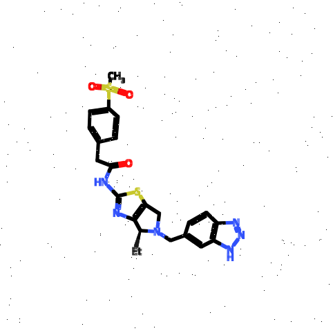 CC[C@H]1c2nc(NC(=O)Cc3ccc(S(C)(=O)=O)cc3)sc2CN1Cc1ccc2nn[nH]c2c1